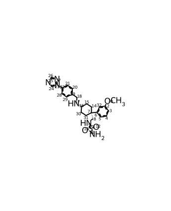 COc1cccc([C@]2(CNS(N)(=O)=O)CC[C@@H](NCc3ccc(-n4cncn4)cc3)CC2)c1